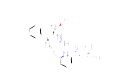 CCCCCN(C(=O)O)c1cccc(CON=C(c2ccccc2)c2nc(=O)on2C)n1